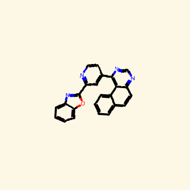 c1ccc2c(c1)ccc1ncnc(-c3ccnc(-c4nc5ccccc5o4)c3)c12